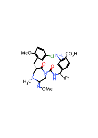 CCC[C@@H](NC(=O)N1C/C(=N\OC)N(C)C[C@H](Cc2cc(Cl)ccc2OC)C1=O)c1ccc(C(=O)O)c(N)c1